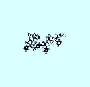 CN[C@@H](C)C(=O)N[C@H](C(=O)N1CCC(F)(F)C[C@H]1CN(CCc1ccccc1)C(=O)c1ccc(-c2ccc(C(=O)N(CCc3ccccc3)C[C@@H]3CC(F)(F)CCN3C(=O)[C@@H](NC(=O)C(C)C)C3CCCCC3)cc2)cc1)C1CCCCC1